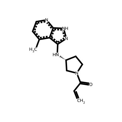 C=CC(=O)N1CC[C@@H](Nc2n[nH]c3nccc(C)c23)C1